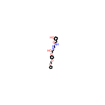 O=C(Cc1cccc(O)c1)NCCNCC(O)COc1ccc(OCCOC2CCCC2)cc1